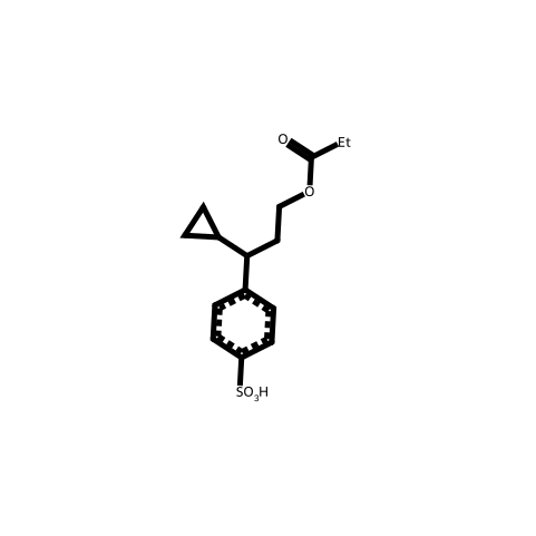 CCC(=O)OCCC(c1ccc(S(=O)(=O)O)cc1)C1CC1